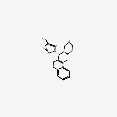 Cc1nnn([C@@H](c2ccc3ccccc3c2F)[C@@H]2CCCNC2)n1